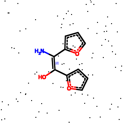 N/C(=C(\O)c1ccco1)c1ccco1